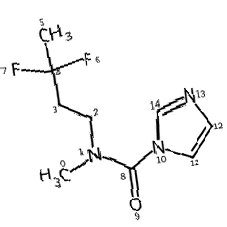 CN(CCC(C)(F)F)C(=O)n1ccnc1